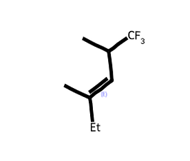 CC/C(C)=C/C(C)C(F)(F)F